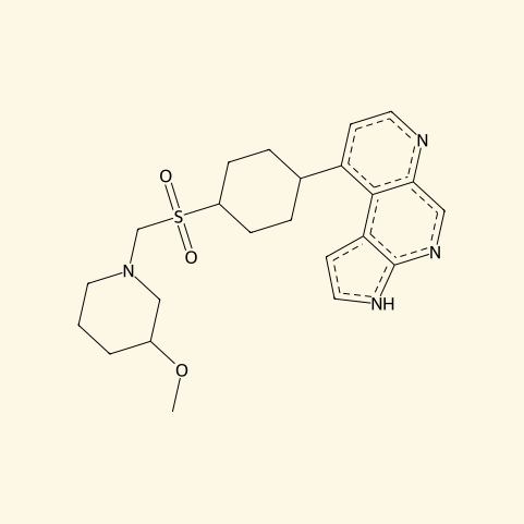 COC1CCCN(CS(=O)(=O)C2CCC(c3ccnc4cnc5[nH]ccc5c34)CC2)C1